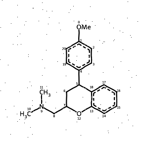 COc1ccc(C2CC(CN(C)C)Oc3ccccc32)cc1